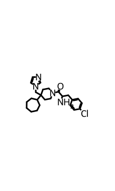 NC(Cc1ccc(Cl)cc1)C(=O)N1CCC(Cn2ccnc2)(C2CCCCCC2)CC1